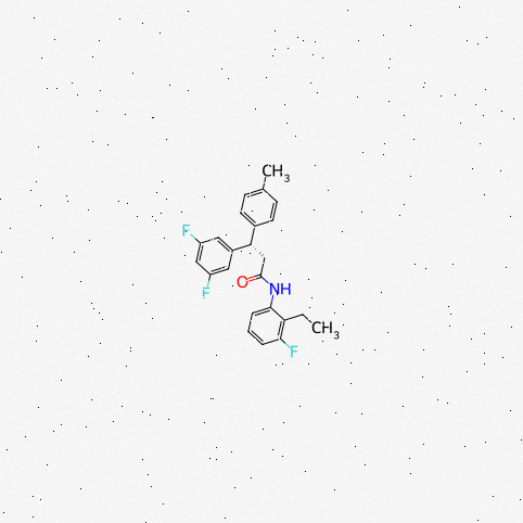 CCc1c(F)cccc1NC(=O)C[C@@H](c1ccc(C)cc1)c1cc(F)cc(F)c1